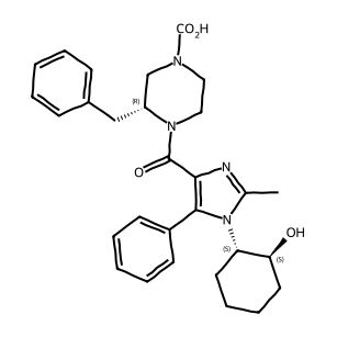 Cc1nc(C(=O)N2CCN(C(=O)O)C[C@H]2Cc2ccccc2)c(-c2ccccc2)n1[C@H]1CCCC[C@@H]1O